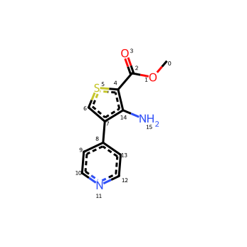 COC(=O)c1scc(-c2ccncc2)c1N